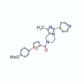 COc1ccc(-c2ccc(C(=O)N3CCn4c(-c5ccncc5)nc(C)c4C3)o2)cc1